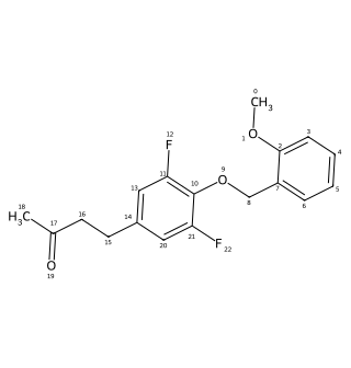 COc1ccccc1COc1c(F)cc(CCC(C)=O)cc1F